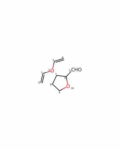 C=COC=C.O=CC1CCCO1